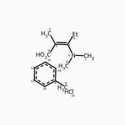 CCC(=C(C)C(=O)O)N(C)C.Cc1ccccc1.Cl